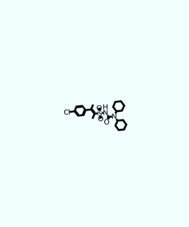 C/C(=C(/C)S(=O)(=O)NC(=O)N(C1CCCCC1)C1CCCCC1)c1ccc(Cl)cc1